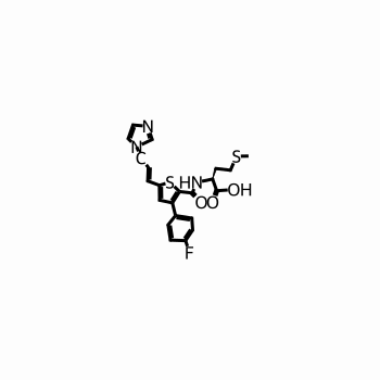 CSCC[C@H](NC(=O)c1sc(C=CCn2ccnc2)cc1-c1ccc(F)cc1)C(=O)O